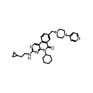 O=c1c2cc(CN3CCN(c4ccncc4)CC3)ccc2c2cnc(NCCC3CC3)nc2n1C1CCCCC1